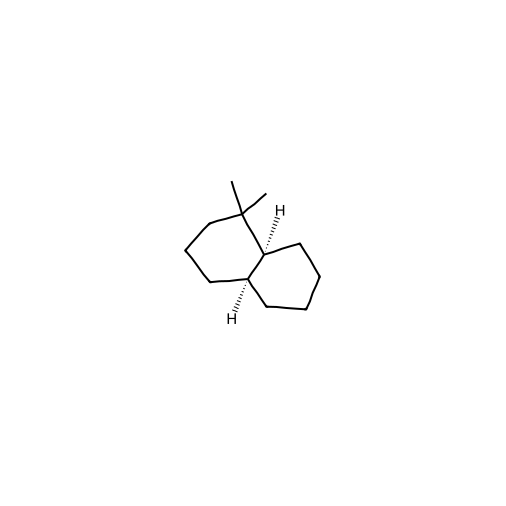 CC1(C)CCC[C@@H]2CCCC[C@@H]21